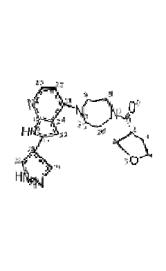 O=C([C@@H]1CCOC1)N1CCN(c2ccnc3[nH]c(-c4cn[nH]c4)cc23)CC1